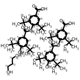 CC(C)(C)c1cc(C(=O)Oc2c(C(C)(C)C)cc(C(=O)O)cc2C(C)(C)C)cc(C(C)(C)C)c1O.CC(C)(C)c1cc(C(=O)Oc2c(C(C)(C)C)cc(C(=O)O)cc2C(C)(C)C)cc(C(C)(C)C)c1O.OCCCO